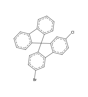 Clc1ccc2c(c1)C1(c3ccccc3-c3ccccc31)c1ccc(Br)cc1-2